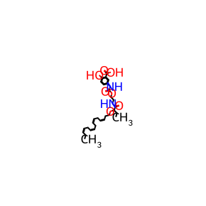 CC/C=C\C/C=C\C/C=C\C/C=C\CCOC(CC)C(=O)NCCOC(=O)Nc1ccc(O)c(C(=O)O)c1